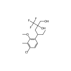 CCC(CC(O)(CO)C(F)(F)F)c1ccc(Cl)c(C)c1OC